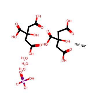 O.O.O.O=C(O)CC(O)(CC(=O)O)C(=O)O.O=C(O)CC(O)(CC(=O)O)C(=O)O.O=P([O-])([O-])O.[Na+].[Na+]